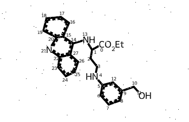 CCOC(=O)C(CCNc1cccc(CO)c1)Nc1c2ccccc2nc2ccccc12